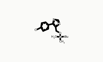 CC(C)(C)[Si](C)(C)OCc1scnc1-c1ccc(Cl)cc1